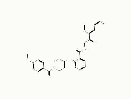 C=C/C(=C\C=C/C)C(=O)CNC(=O)c1ccccc1OC1CCN(C(=O)c2ccc(OC)cc2)CC1